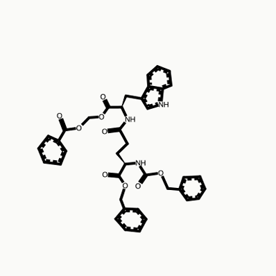 O=C(CC[C@@H](NC(=O)OCc1ccccc1)C(=O)OCc1ccccc1)N[C@H](Cc1c[nH]c2ccccc12)C(=O)OCOC(=O)c1ccccc1